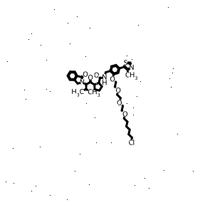 Cc1ncsc1-c1ccc(CNC(=O)C2CCCC2C(=O)C(C(C)C)N2Cc3ccccc3C2=O)c(OCCOCCOCCOCCCCCCCl)c1